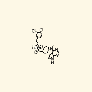 CN(c1ncnc2[nH]ccc12)C1CCC(CS(=O)(=O)NCCc2ccc(Cl)c(Cl)c2)CC1